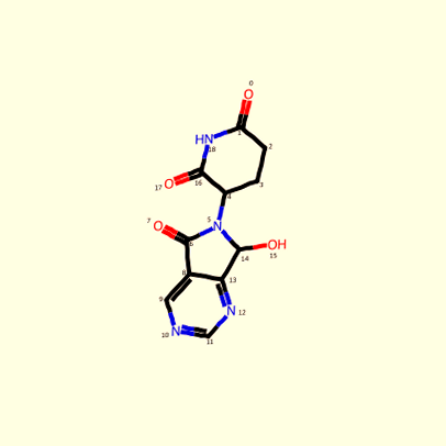 O=C1CCC(N2C(=O)c3cncnc3C2O)C(=O)N1